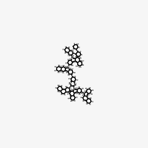 c1ccc(-c2ccccc2-c2nc3ccccc3nc2-n2c3ccc(-n4c5ccc(-c6ccc7nc(-n8c9ccc(-n%10c%11ccccc%11c%11c%12ccccc%12ccc%11%10)cc9c9c%10ccccc%10ccc98)c(-c8ccc9ccc%10ccccc%10c9c8)nc7c6)cc5c5cc6ccccc6cc54)cc3c3c4ccccc4ccc32)cc1